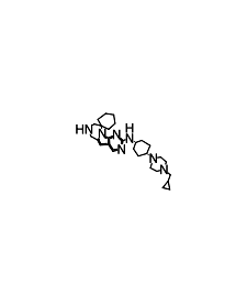 c1nc(N[C@H]2CC[C@@H](N3CCN(CC4CC4)CC3)CC2)nc2c1cc1n2C2(CCCCC2)CNC1